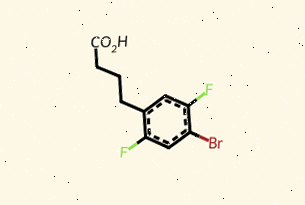 O=C(O)CCCc1cc(F)c(Br)cc1F